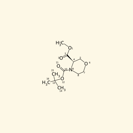 COC(=O)[C@H]1COCCN1C(=O)OC(C)(C)C